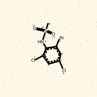 CC(C)c1cc(Cl)cc(Cl)c1NS(C)(=O)=O